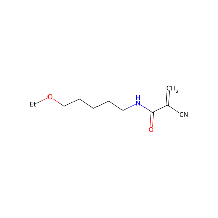 C=C(C#N)C(=O)NCCCCCOCC